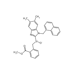 COC(=O)c1ccccc1C[S+]([O-])c1nc2cc(C)c(C)cc2n1Cc1cccc2ccccc12